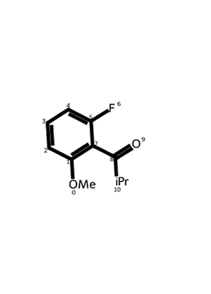 COc1cccc(F)c1C(=O)C(C)C